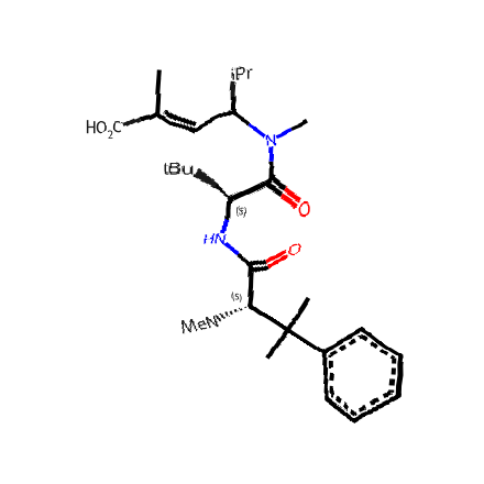 CN[C@H](C(=O)N[C@H](C(=O)N(C)C(C=C(C)C(=O)O)C(C)C)C(C)(C)C)C(C)(C)c1ccccc1